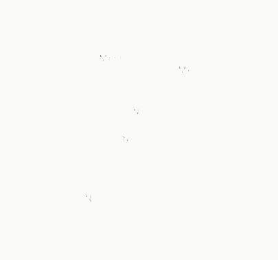 COc1cc(OC)cc(N2CCN(CCCCN)CC2)c1